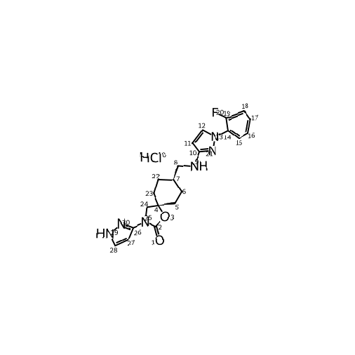 Cl.O=C1O[C@]2(CC[C@H](CNc3ccn(-c4ccccc4F)n3)CC2)CN1c1cc[nH]n1